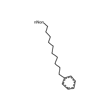 CCCCCCCCCCCCCCCCCCCc1ccccc1